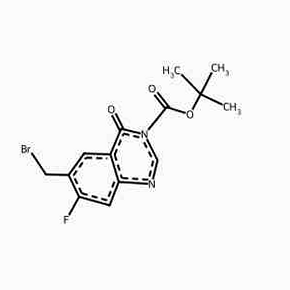 CC(C)(C)OC(=O)n1cnc2cc(F)c(CBr)cc2c1=O